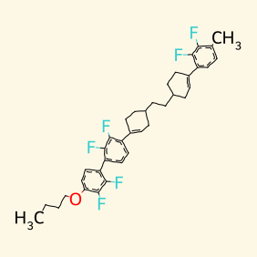 CCCCOc1ccc(-c2ccc(C3=CCC(CCC4CC=C(c5ccc(C)c(F)c5F)CC4)CC3)c(F)c2F)c(F)c1F